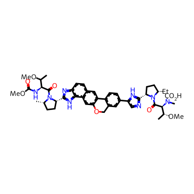 CC[C@H]1CC[C@@H](c2ncc(-c3ccc4c(c3)COc3cc5c(ccc6nc([C@@H]7CC[C@H](C)N7C(=O)[C@@H](NC(=O)OC)C(C)OC)[nH]c65)cc3-4)[nH]2)N1C(=O)[C@H]([C@@H](C)OC)N(C)C(=O)O